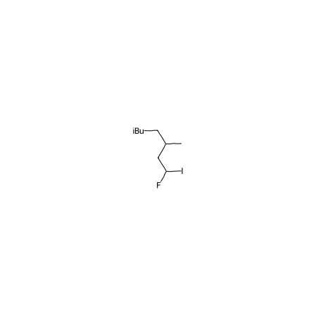 CCC(C)CC(C)CC(F)I